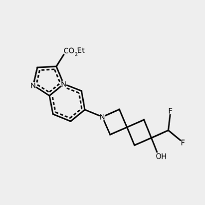 CCOC(=O)c1cnc2ccc(N3CC4(C3)CC(O)(C(F)F)C4)cn12